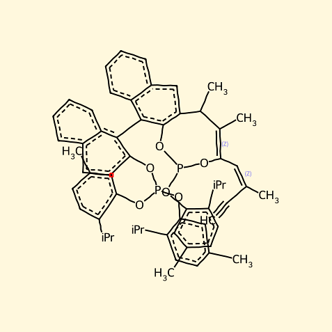 C#C/C(C)=C\C1=C(/C)C(C)c2cc3ccccc3c(-c3c(OP(Oc4cc(C)ccc4C(C)C)Oc4cc(C)ccc4C(C)C)ccc4ccccc34)c2OP(Oc2cc(C)ccc2C(C)C)O1